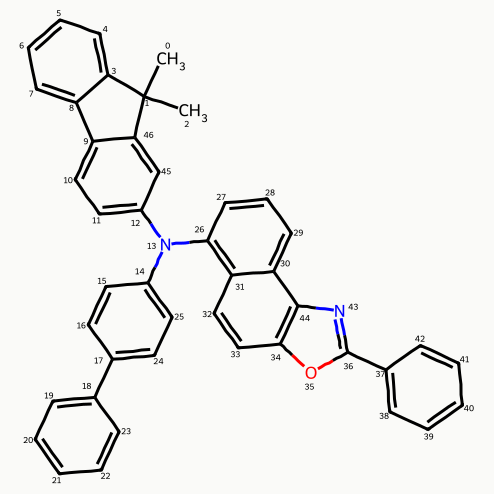 CC1(C)c2ccccc2-c2ccc(N(c3ccc(-c4ccccc4)cc3)c3cccc4c3ccc3oc(-c5ccccc5)nc34)cc21